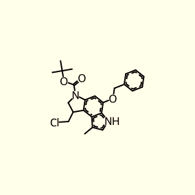 Cc1c[nH]c2c(OCc3ccccc3)cc3c(c12)C(CCl)CN3C(=O)OC(C)(C)C